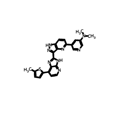 Cc1ccc(-c2ccnc3[nH]c(-c4n[nH]c5ccc(-c6cncc(N(C)C)c6)nc45)nc23)s1